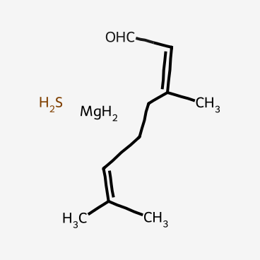 CC(C)=CCCC(C)=CC=O.S.[MgH2]